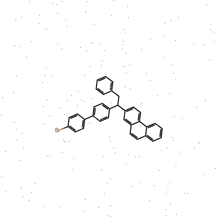 Brc1ccc(-c2ccc(C(Cc3ccccc3)c3ccc4c(ccc5ccccc54)c3)cc2)cc1